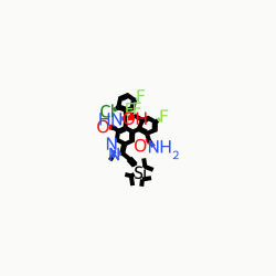 CC(C)[Si](C#Cc1c2cc(-c3c(C(N)=O)cc(F)cc3C(F)(F)F)c3c(c2nn1C)C(=O)NC3(O)c1cc(F)ccc1Cl)(C(C)C)C(C)C